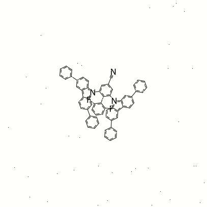 N#Cc1cc(-n2c3ccc(-c4ccccc4)cc3c3ccc(-c4ccccc4)cc32)c(-c2c(F)cccc2F)c(-n2c3ccc(-c4ccccc4)cc3c3ccc(-c4ccccc4)cc32)c1